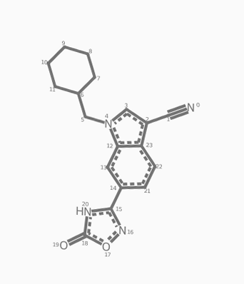 N#Cc1cn(CC2CCCCC2)c2cc(-c3noc(=O)[nH]3)ccc12